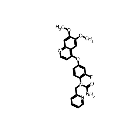 COc1cc2nccc(Oc3ccc(N(Cc4ccccn4)C(N)=O)c(F)c3)c2cc1OC